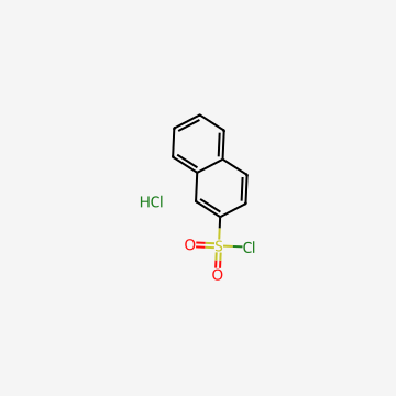 Cl.O=S(=O)(Cl)c1ccc2ccccc2c1